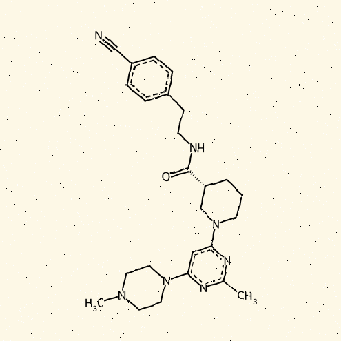 Cc1nc(N2CCN(C)CC2)cc(N2CCC[C@@H](C(=O)NCCc3ccc(C#N)cc3)C2)n1